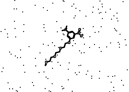 COCCOCCOCCOc1cc(N(C)C)cc([N+](=O)[O-])c1